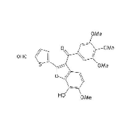 COc1cc(C(=O)c2c(-c3ccc(C=O)s3)oc3c(O)c(OC)ccc23)cc(OC)c1OC